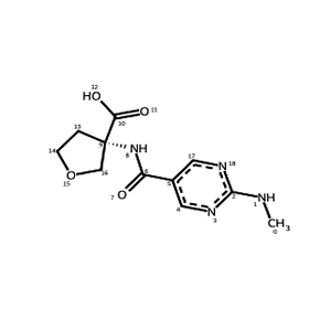 CNc1ncc(C(=O)N[C@@]2(C(=O)O)CCOC2)cn1